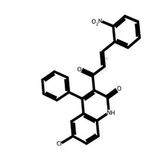 O=C(/C=C/c1ccccc1[N+](=O)[O-])c1c(-c2ccccc2)c2cc(Cl)ccc2[nH]c1=O